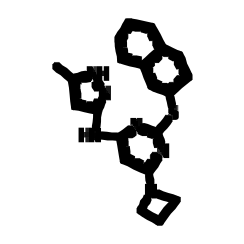 Cc1cc(Nc2cc(N3CCC3)nc(Sc3ccc4ccccc4c3)n2)n[nH]1